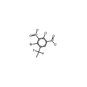 O=[N+]([O-])c1cc(C(F)(F)F)c(Br)c([N+](=O)[O-])c1Cl